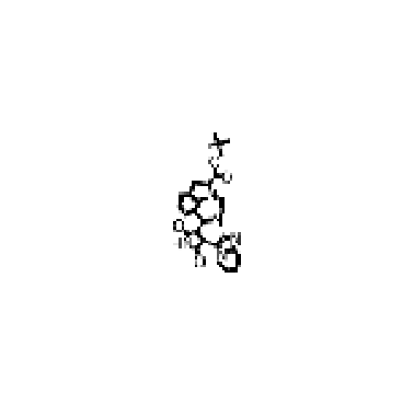 CC(C)(C)COC(=O)C1Cc2cccc3c2N1C=CN=C3C1=C(c2cnc3ccccn23)C(=O)NC1=O